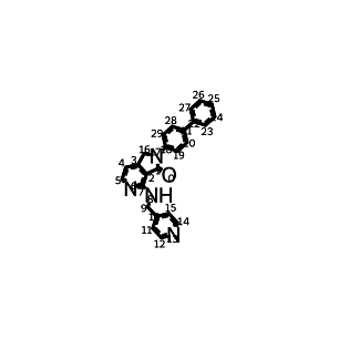 O=C1c2c(ccnc2NCc2ccncc2)CN1c1ccc(-c2ccccc2)cc1